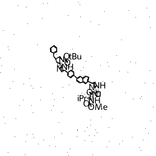 COC(=O)N[C@H](C(=O)N1CCC[C@H]1c1nc(-c2ccc3cc(-c4ccc(-c5cnc([C@@H]6CC(Cc7ccccc7)CN6C(=O)OC(C)(C)C)[nH]5)cc4)ccc3c2)c[nH]1)C(C)C